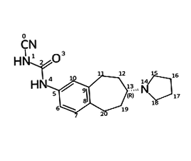 N#CNC(=O)Nc1ccc2c(c1)CC[C@H](N1CCCC1)CC2